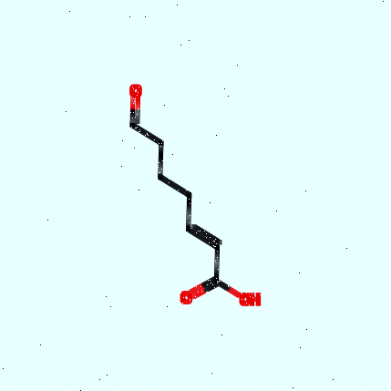 O=CCCCC=CC(=O)O